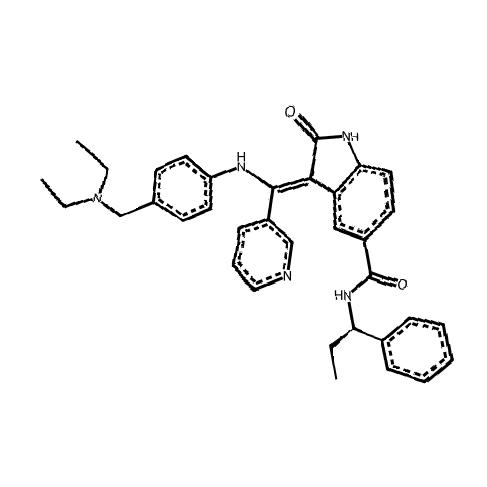 CC[C@@H](NC(=O)c1ccc2c(c1)/C(=C(/Nc1ccc(CN(CC)CC)cc1)c1cccnc1)C(=O)N2)c1ccccc1